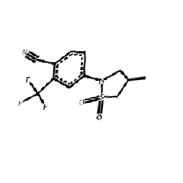 CC1CN(c2ccc(C#N)c(C(F)(F)F)c2)S(=O)(=O)C1